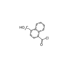 O=C(O)c1ccc(C(=O)Cl)c2ccccc12